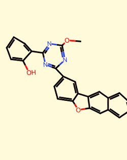 COc1nc(-c2ccc3oc4cc5ccccc5cc4c3c2)nc(-c2ccccc2O)n1